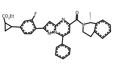 CCOC(=O)C1CC1c1ccc(-c2cc3nc(C(=O)N4CCc5ccccc5[C@H]4C)cc(-c4ccccc4)n3n2)c(F)c1